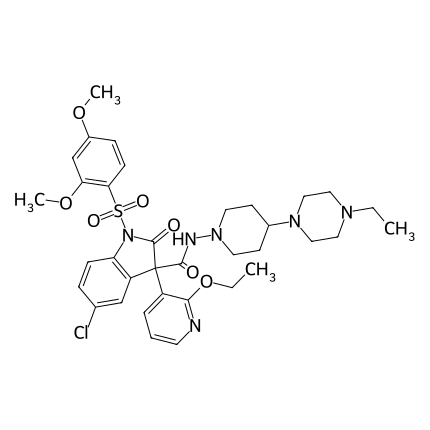 CCOc1ncccc1C1(C(=O)NN2CCC(N3CCN(CC)CC3)CC2)C(=O)N(S(=O)(=O)c2ccc(OC)cc2OC)c2ccc(Cl)cc21